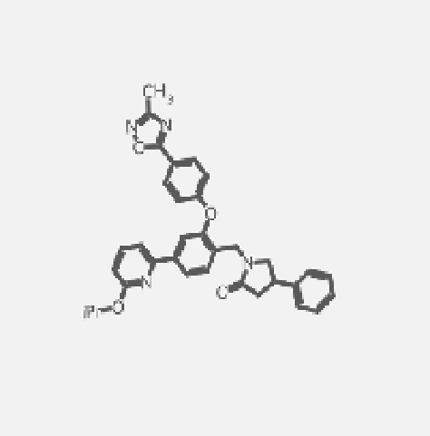 Cc1noc(-c2ccc(Oc3cc(-c4cccc(OC(C)C)n4)ccc3CN3CC(c4ccccc4)CC3=O)cc2)n1